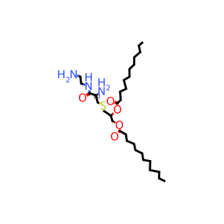 CCCCCCCCCCCC(=O)OCC(CSC[C@H](N)C(=O)NCCN)OC(=O)CCCCCCCCCCC